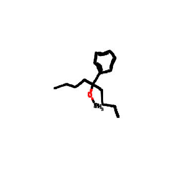 CCCCC(CCCC)(O[SiH3])c1ccccc1